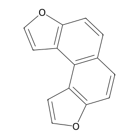 c1cc2c(ccc3ccc4occc4c32)o1